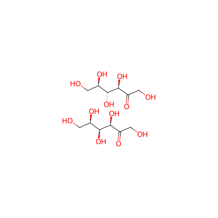 O=C(CO)[C@H](O)[C@@H](O)[C@H](O)CO.O=C(CO)[C@H](O)[C@H](O)[C@H](O)CO